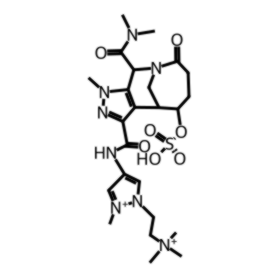 CN(C)C(=O)C1c2c(c(C(=O)Nc3cn(CC[N+](C)(C)C)[n+](C)c3)nn2C)C2CN1C(=O)CCC2OS(=O)(=O)O